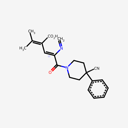 C=N/C(=C\C(C(=O)O)=C(C)C)C(=O)N1CCC(C#N)(c2ccccc2)CC1